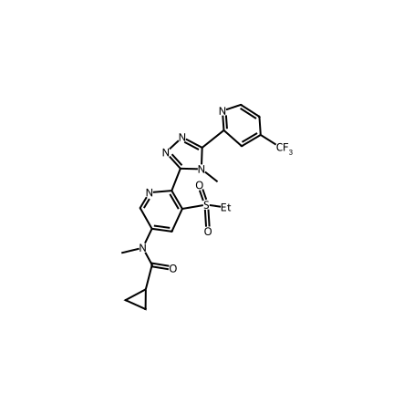 CCS(=O)(=O)c1cc(N(C)C(=O)C2CC2)cnc1-c1nnc(-c2cc(C(F)(F)F)ccn2)n1C